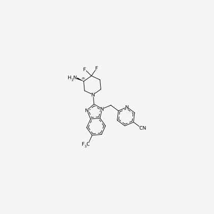 N#Cc1ccc(Cn2c(N3CCC(F)(F)[C@H](N)C3)nc3cc(C(F)(F)F)ccc32)nc1